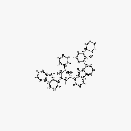 C1=CC2Sc3c(-c4cccc5c4oc4c(C6NC(c7ccccc7)NC(c7cccc8c7sc7ccccc78)N6)cccc45)cccc3C2C=C1